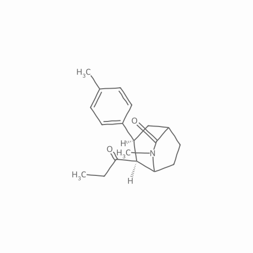 CCC(=O)[C@@H]1C2CCC(C[C@@H]1c1ccc(C)cc1)C(=O)N2C